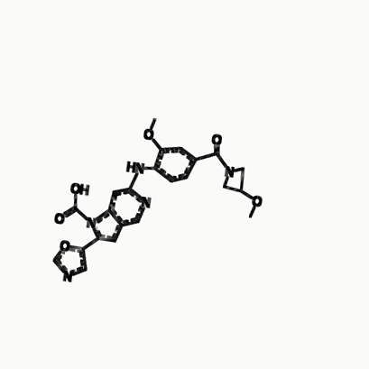 COc1cc(C(=O)N2CC(OC)C2)ccc1Nc1cc2c(cn1)cc(-c1cnco1)n2C(=O)O